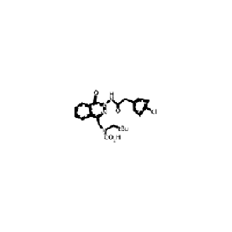 CC(C)(C)CN(Cc1nn(NC(=O)Cc2ccc(Cl)cc2)c(=O)c2ccccc12)C(=O)O